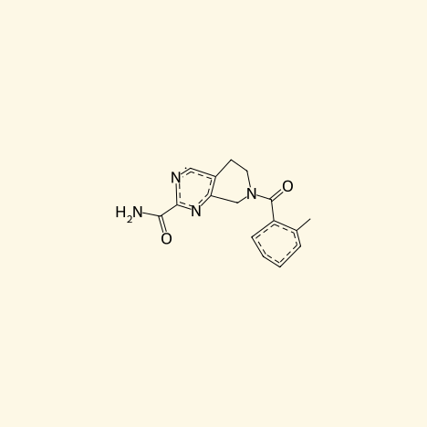 Cc1ccccc1C(=O)N1CCc2[c]nc(C(N)=O)nc2C1